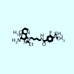 CCc1nc2c(n1CCCCNC(=O)c1ccc(N(C)C)c(F)c1)C1=NC=CCC1(C)N=C2N